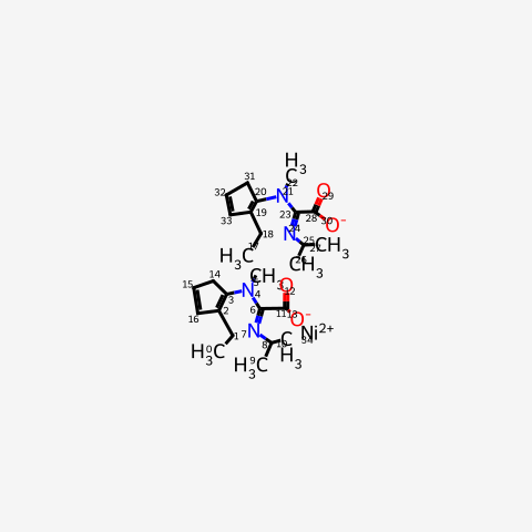 CCC1=C(N(C)C(=NC(C)C)C(=O)[O-])CC=C1.CCC1=C(N(C)C(=NC(C)C)C(=O)[O-])CC=C1.[Ni+2]